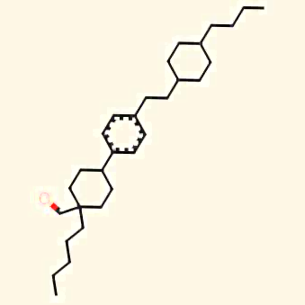 CCCCCC1(C=O)CCC(c2ccc(CCC3CCC(CCCC)CC3)cc2)CC1